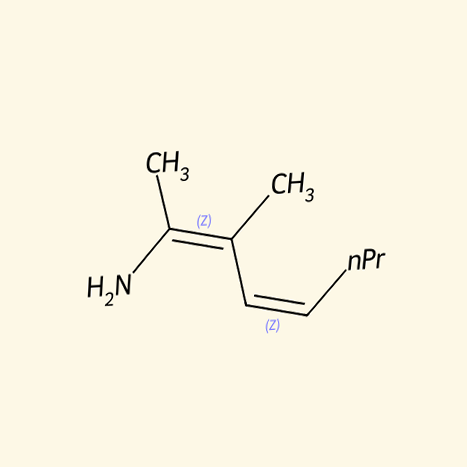 CCC/C=C\C(C)=C(\C)N